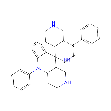 c1ccc(B2C3CNCCC3C3(c4ccccc4N(c4ccccc4)C4CCNCC43)C3CCNCC23)cc1